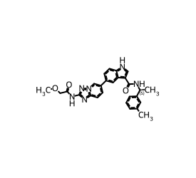 COCC(=O)Nc1nc2ccc(-c3ccc4[nH]cc(C(=O)N[C@@H](C)c5cccc(C)c5)c4c3)cn2n1